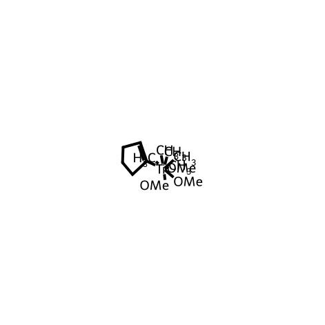 C[O][Ti]([CH3])([CH3])([CH3])([CH3])([CH3])([O]C)([O]C)[C]1=CCCC1